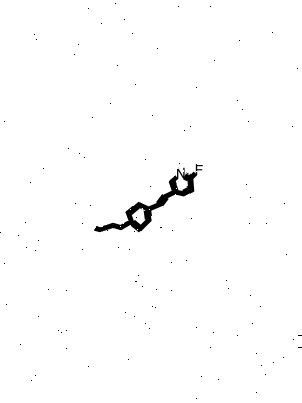 CCCCc1ccc(C#Cc2ccc(F)nc2)cc1